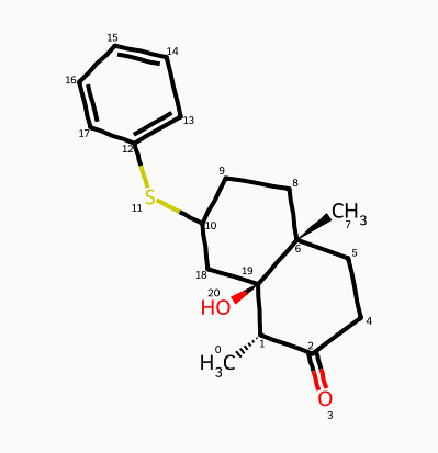 C[C@H]1C(=O)CC[C@@]2(C)CCC(Sc3ccccc3)C[C@@]12O